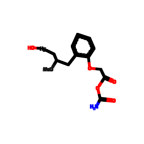 COC([CH2][Hg][OH])Cc1ccccc1OCC(=O)OC(N)=O